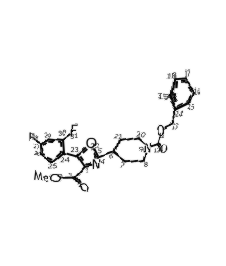 COC(=O)c1nc(C2CCN(C(=O)OCc3ccccc3)CC2)oc1-c1ccc(F)cc1F